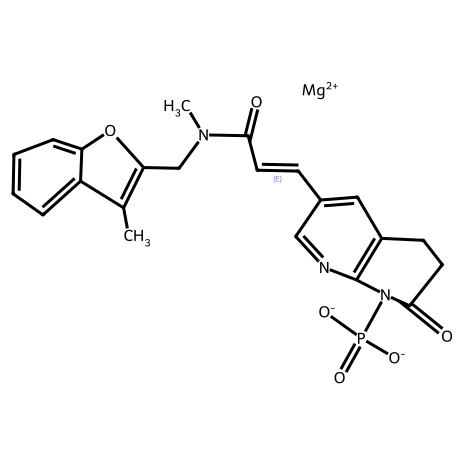 Cc1c(CN(C)C(=O)/C=C/c2cnc3c(c2)CCC(=O)N3P(=O)([O-])[O-])oc2ccccc12.[Mg+2]